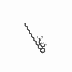 CCCCCCCCCCCCC(Cc1ccccc1)C(N)(CCC)CCC.O